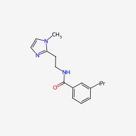 CC(C)c1cccc(C(=O)NCCc2nccn2C)c1